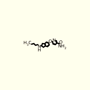 CCCCCNC1Cc2ccc(Oc3ccc(C(N)=O)cn3)cc2C1